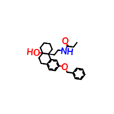 CCC(=O)NCC[C@]12CCCC[C@@]1(O)CCc1ccc(OCc3ccccc3)cc12